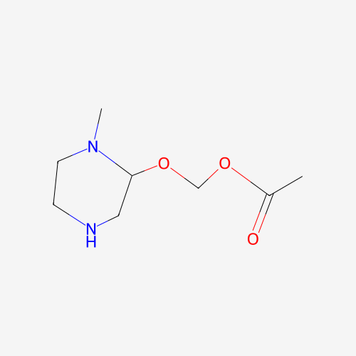 CC(=O)OCOC1CNCCN1C